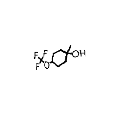 CC1(O)CCC(OC(F)(F)F)CC1